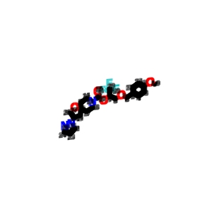 COc1ccc(COCC(OC(=O)N2CCC3(CC2)CC(n2cccn2)CO3)C(F)(F)F)cc1